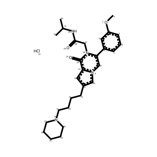 COc1cccc(-c2cn3cc(CCCCN4CCCCC4)cc3c(=O)n2CC(=O)NC(C)C)c1.Cl